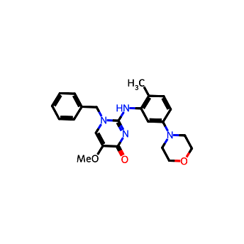 COc1cn(Cc2ccccc2)c(Nc2cc(N3CCOCC3)ccc2C)nc1=O